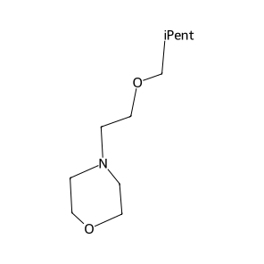 CCCC(C)COCCN1CCOCC1